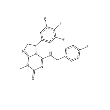 CN1C(=O)N=C(NCc2ccc(F)cc2)N2C1=NCC2c1cc(F)c(F)c(F)c1